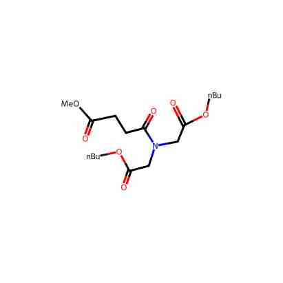 CCCCOC(=O)CN(CC(=O)OCCCC)C(=O)CCC(=O)OC